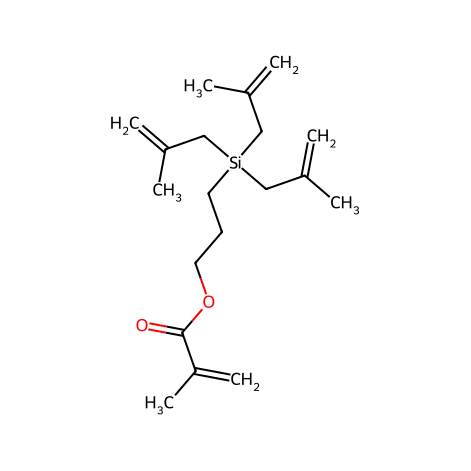 C=C(C)C[Si](CCCOC(=O)C(=C)C)(CC(=C)C)CC(=C)C